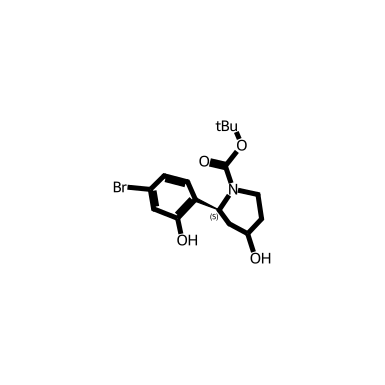 CC(C)(C)OC(=O)N1CCC(O)C[C@H]1c1ccc(Br)cc1O